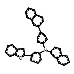 c1cc(-c2cc3ccccc3o2)cc(N(c2ccc(-c3ccc4ccccc4c3)cc2)c2ccc3ccccc3c2)c1